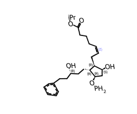 CC(C)OC(=O)CCC/C=C\C[C@@H]1[C@@H](CC[C@@H](O)CCc2ccccc2)[C@H](OP)C[C@@H]1O